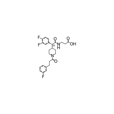 O=C(O)CCNC(=O)[C@H](c1ccc(F)c(F)c1)C1CCN(C(=O)CCc2cccc(F)c2)CC1